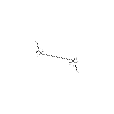 CCCOC(=O)C(Cl)(Cl)CCCCCCCCCCCCC(Cl)(Cl)C(=O)OCCC